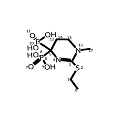 CCSC1=NC(P(=O)(O)O)(P(=O)(O)O)CCN1C